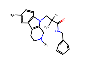 Cc1ccc2c(c1)c1c(n2CC(C)(C)C(=O)NCc2ccccc2)CN(C)CC1